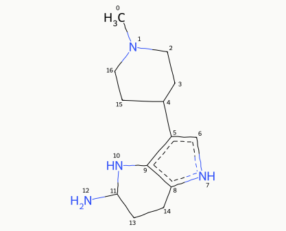 CN1CCC(c2c[nH]c3c2NC(N)CC3)CC1